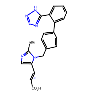 CCCCc1ncc(/C=C/C(=O)O)n1Cc1ccc(-c2ccccc2-c2nnn[nH]2)cc1